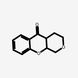 O=C1c2ccccc2OC2COCCC12